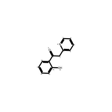 O=C(Cc1ccccn1)c1ccccc1O